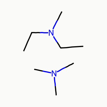 CCN(C)CC.CN(C)C